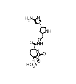 Nc1cn([C@@H]2CN[C@H](CONC(=O)[C@@H]3CC[C@@H]4CN3C(=O)N4OS(=O)(=O)O)C2)cn1